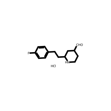 Cl.O=CC1CCNC(CCc2ccc(F)cc2)C1